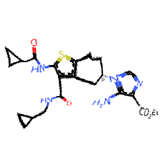 CCOC(=O)c1ncn([C@H]2CCc3sc(NC(=O)C4CC4)c(C(=O)NCC4CC4)c3C2)c1N